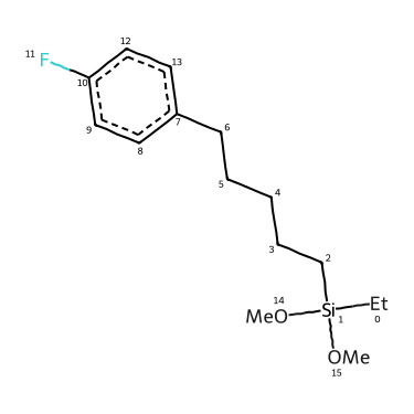 CC[Si](CCCCCc1ccc(F)cc1)(OC)OC